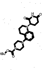 CC(C)(C)OC(=O)N1CCN(c2cccc3c2CCCN3[C@@H]2CCC(=O)NC2=O)CC1